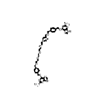 Nc1nc(OCc2ccc(COCCOCCOCCOCCn3cc(COCc4ccc(COc5nc(N)nc6[nH]cnc56)cc4)nn3)cc2)c2nc[nH]c2n1